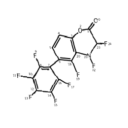 O=C1Oc2ccc(-c3c(F)c(F)c(F)c(F)c3F)c(F)c2N(F)C1F